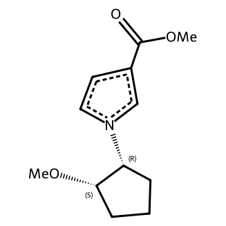 COC(=O)c1ccn([C@@H]2CCC[C@@H]2OC)c1